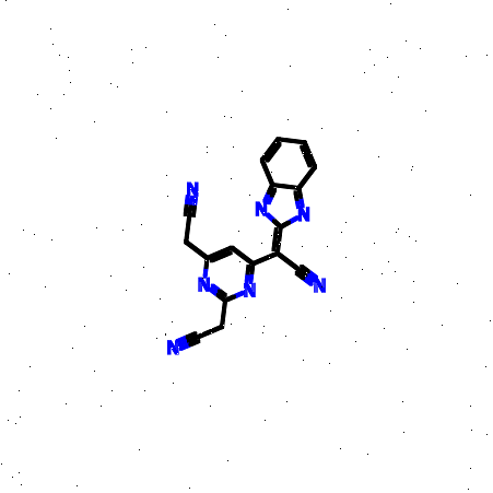 N#CCc1cc(C(C#N)=C2N=c3ccccc3=N2)nc(CC#N)n1